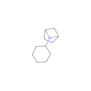 [CH]1CCC(N2C3CCC2C3)CC1